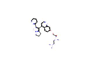 CN(C)CCN(C)C(=O)COc1ccc2c(-c3c(-c4ccccn4)nn4c3CCC4)ccnc2c1